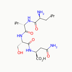 CC(C)C[C@H](N)C(=O)N[C@H](C(=O)N[C@@H](CO)C(=O)N[C@@H](CC(N)=O)C(=O)O)C(C)C